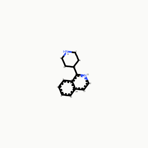 c1ccc2c(C3CCNCC3)nccc2c1